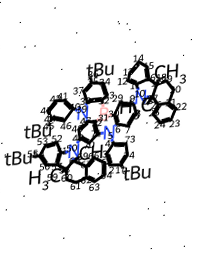 CC(C)(C)c1ccc(N2c3ccc(N4c5ccccc5C5(C)CCc6ccccc6C45C)cc3B3c4ccc(C(C)(C)C)cc4N(c4cccc(C(C)(C)C)c4)c4cc(N5c6ccc(C(C)(C)C)cc6C6(C)CCc7ccccc7C56C)cc2c43)cc1